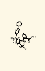 NC=O.O=C(O)c1ccsc1Nc1nc(Nc2ccc(N3CCOCC3)nc2)ncc1C(F)(F)F